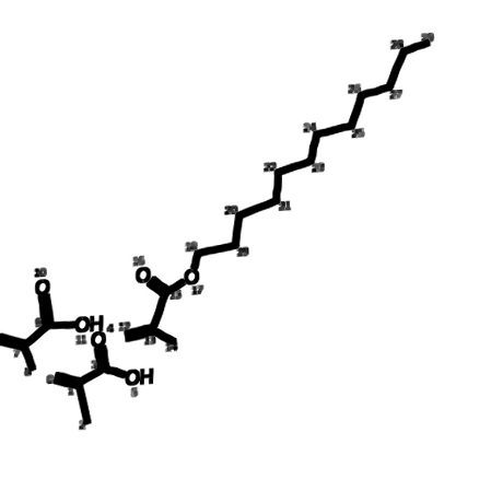 C=C(C)C(=O)O.C=C(C)C(=O)O.C=C(C)C(=O)OCCCCCCCCCCCC